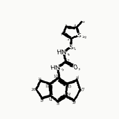 Cc1ccc(SNC(=O)Nc2c3c(cc4c2CCC4)CCC3)s1